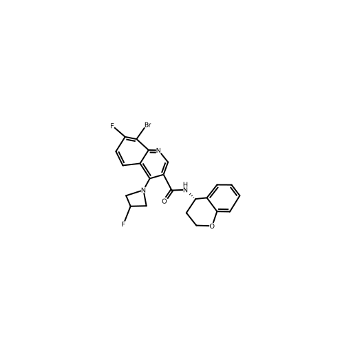 O=C(N[C@H]1CCOc2ccccc21)c1cnc2c(Br)c(F)ccc2c1N1CC(F)C1